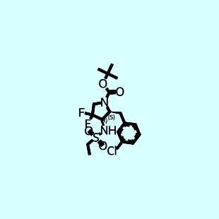 CCS(=O)(=O)N[C@@H]1[C@H](Cc2cccc(Cl)c2)N(C(=O)OC(C)(C)C)CC1(F)F